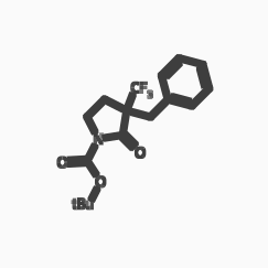 CC(C)(C)OC(=O)N1CCC(Cc2ccccc2)(C(F)(F)F)C1=O